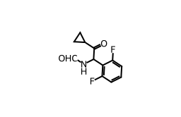 O=CNC(C(=O)C1CC1)c1c(F)cccc1F